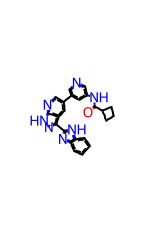 O=C(Nc1cncc(-c2cnc3[nH]nc(-c4nc5ccccc5[nH]4)c3c2)c1)C1CCC1